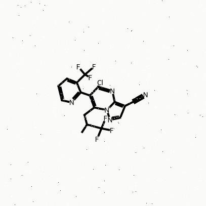 CC(Cc1c(-c2ncccc2C(F)(F)F)c(Cl)nc2c(C#N)cnn12)C(F)(F)F